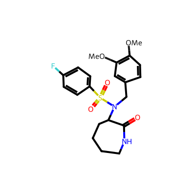 COc1ccc(CN(C2CCCCNC2=O)S(=O)(=O)c2ccc(F)cc2)cc1OC